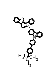 CC(C)(C)c1ccc(-c2ccc(-n3c4ccccc4c4cc(-n5c6ccccc6c6c7oc8ccccc8c7ccc65)ccc43)cc2)cc1